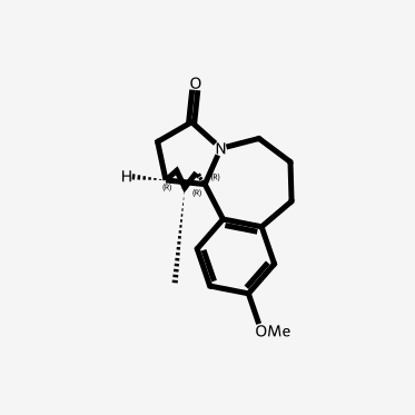 COc1ccc2c(c1)CCCN1C(=O)C[C@H]3C[C@@H](C)C[C@]231